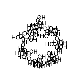 OC[C@H]1O[C@@H]2O[C@H]3[C@H](O)[C@@H](O)[C@@H](O[C@H]4[C@H](O)[C@@H](O)[C@@H](O[C@H]5[C@H](O)[C@@H](O)[C@@H](O[C@H]6[C@H](O)[C@@H](O)[C@@H](O[C@H]7[C@H](O)[C@@H](O)[C@@H](O[C@H]8[C@H](O)[C@@H](O)[C@@H](O[C@H]1[C@H](O)[C@H]2O)O[C@@H]8CO)O[C@@H]7CO)O[C@@H]6CO)O[C@@H]5CO)O[C@@H]4CO)O[C@@H]3CO.OOO